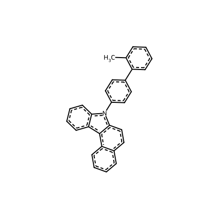 Cc1ccccc1-c1ccc(-n2c3ccccc3c3c4ccccc4ccc32)cc1